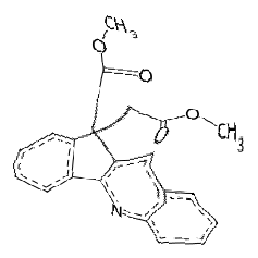 COC(=O)CC1(CC(=O)OC)c2ccccc2-c2nc3ccccc3cc21